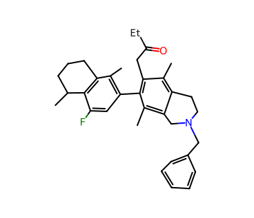 CCC(=O)Cc1c(C)c2c(c(C)c1-c1cc(F)c3c(c1C)CCCC3C)CN(Cc1ccccc1)CC2